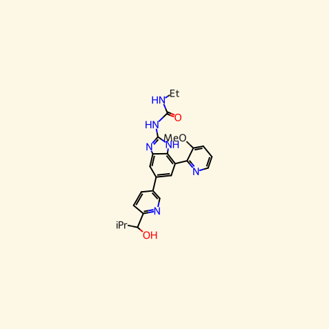 CCNC(=O)Nc1nc2cc(-c3ccc(C(O)C(C)C)nc3)cc(-c3ncccc3OC)c2[nH]1